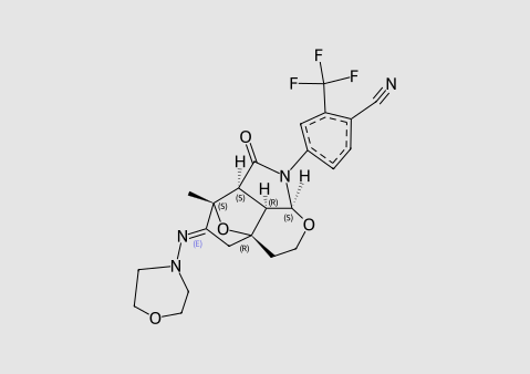 C[C@]12O[C@@]3(CCO[C@H]4[C@@H]3[C@@H]1C(=O)N4c1ccc(C#N)c(C(F)(F)F)c1)C/C2=N\N1CCOCC1